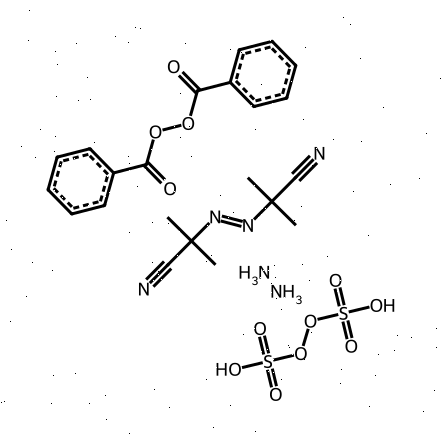 CC(C)(C#N)N=NC(C)(C)C#N.N.N.O=C(OOC(=O)c1ccccc1)c1ccccc1.O=S(=O)(O)OOS(=O)(=O)O